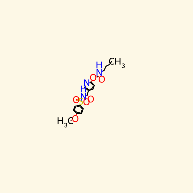 CCCCNC(=O)Oc1ccc(C(=O)NS(=O)(=O)c2ccc(OC)cc2)cn1